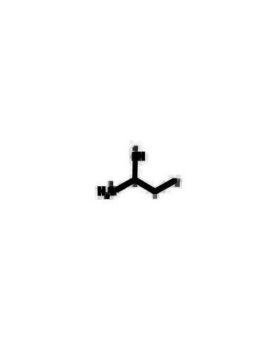 [CH2]CC([SiH3])S